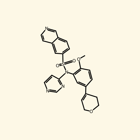 COc1ccc(C2=CCOCC2)cc1N(c1ccncn1)S(=O)(=O)c1ccc2cnccc2c1